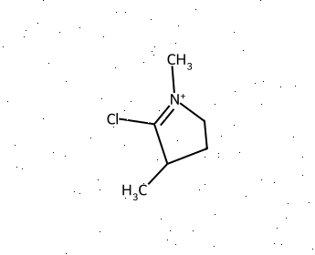 CC1CC[N+](C)=C1Cl